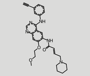 C#Cc1cccc(Nc2ncnc3cc(OCCOC)c(NC(=O)C=CCN4CCCCC4)cc23)c1